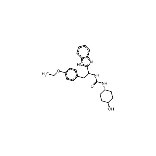 CCOc1ccc(CC(NC(=O)N[C@H]2CC[C@H](O)CC2)c2nc3ccccc3[nH]2)cc1